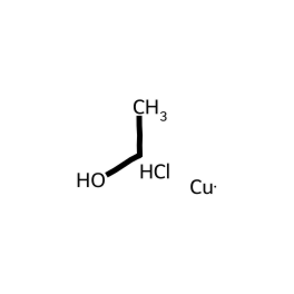 CCO.Cl.[Cu]